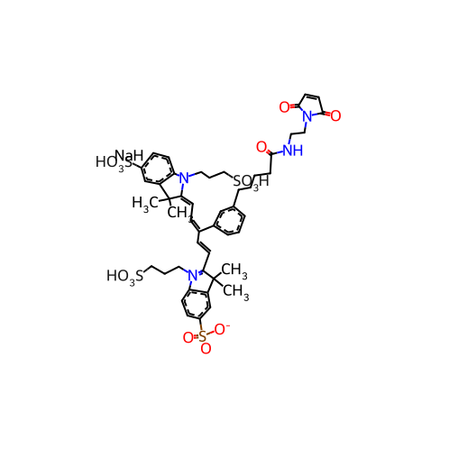 CC1(C)C(=CC=C(C=CC2=[N+](CCCS(=O)(=O)O)c3ccc(S(=O)(=O)[O-])cc3C2(C)C)c2cccc(CCCCC(=O)NCCN3C(=O)C=CC3=O)c2)N(CCCS(=O)(=O)O)c2ccc(S(=O)(=O)O)cc21.[NaH]